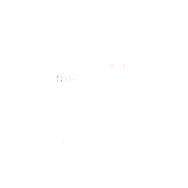 Oc1ccc(F)cc1.[NaH]